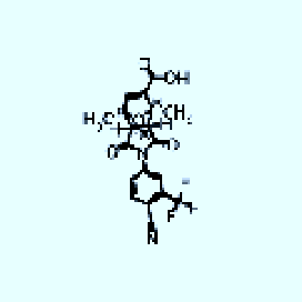 C[C@]12C=C(C(=O)O)[C@](C)(O1)[C@@H]1C(=O)N(c3ccc(C#N)c(C(F)(F)F)c3)C(=O)[C@@H]12